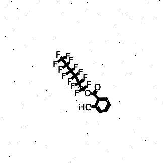 O=C(OC(F)(F)C(F)(F)C(F)(F)C(F)(F)C(F)(F)C(F)(F)F)c1ccccc1O